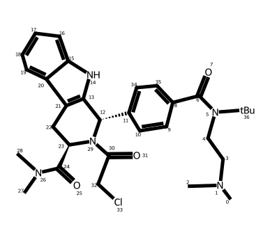 CN(C)CCN(C(=O)c1ccc([C@H]2c3[nH]c4ccccc4c3C[C@H](C(=O)N(C)C)N2C(=O)CCl)cc1)C(C)(C)C